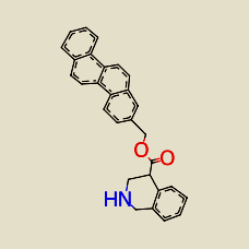 O=C(OCc1ccc2c(ccc3c4ccccc4ccc23)c1)C1CNCc2ccccc21